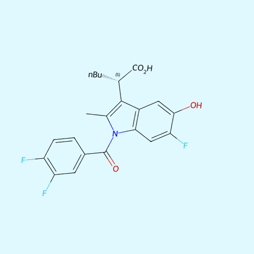 CCCC[C@H](C(=O)O)c1c(C)n(C(=O)c2ccc(F)c(F)c2)c2cc(F)c(O)cc12